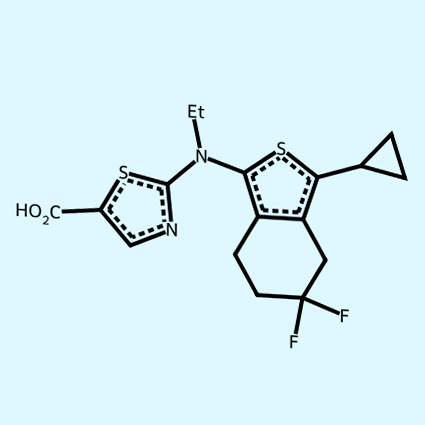 CCN(c1ncc(C(=O)O)s1)c1sc(C2CC2)c2c1CCC(F)(F)C2